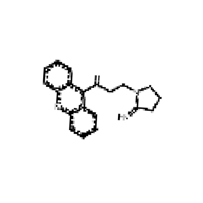 N=C1CCCN1CCNc1c2ccccc2nc2ccccc12